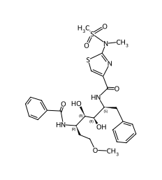 COCC[C@@H](NC(=O)c1ccccc1)[C@@H](O)[C@H](O)[C@H](Cc1ccccc1)NC(=O)c1csc(N(C)S(C)(=O)=O)n1